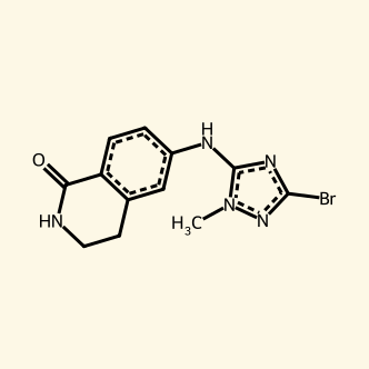 Cn1nc(Br)nc1Nc1ccc2c(c1)CCNC2=O